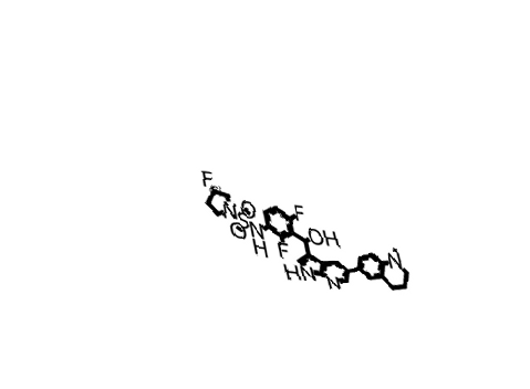 CN1CCCc2cc(-c3cnc4[nH]cc(C(O)c5c(F)ccc(NS(=O)(=O)N6CC[C@@H](F)C6)c5F)c4c3)ccc21